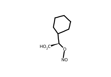 O=NO[C@@H](C(=O)O)C1CCCCC1